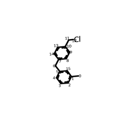 Cc1cccc(Cc2ccc(CCl)cc2)c1